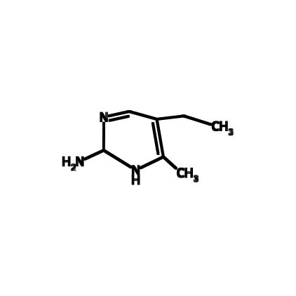 CCC1=C(C)NC(N)N=C1